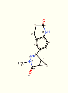 CN1N=C(c2ccc3c(c2)CCC(=O)N3)C2CC2C1=O